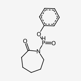 O=C1CCCCCN1[PH](=O)Oc1ccccc1